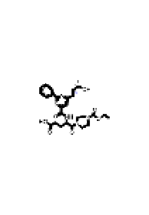 CCOC(=O)N1CCN(C(=O)C(CCC(=O)O)NC(=O)c2cc(/C=C/[C@H](C)O)nc(-c3ccccc3)n2)CC1